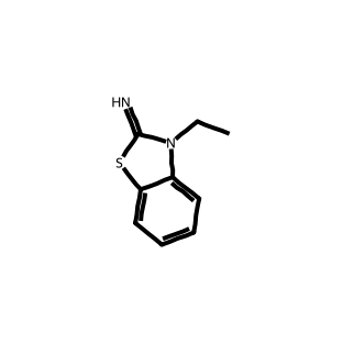 CCn1c(=N)sc2ccccc21